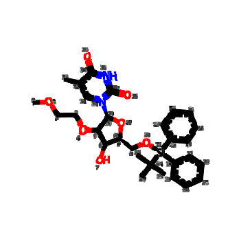 COCCOC1C(O)[C@H](CO[Si](c2ccccc2)(c2ccccc2)C(C)(C)C)O[C@@H]1n1cc(C)c(=O)[nH]c1=O